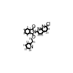 O=C1c2ccccc2C(OCCc2ccccn2)N1c1ccc2ccc(Cl)nc2n1